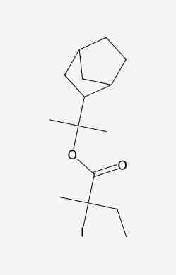 CCC(C)(I)C(=O)OC(C)(C)C1CC2CCC1C2